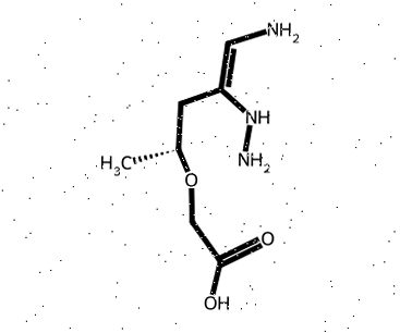 C[C@H](C/C(=C/N)NN)OCC(=O)O